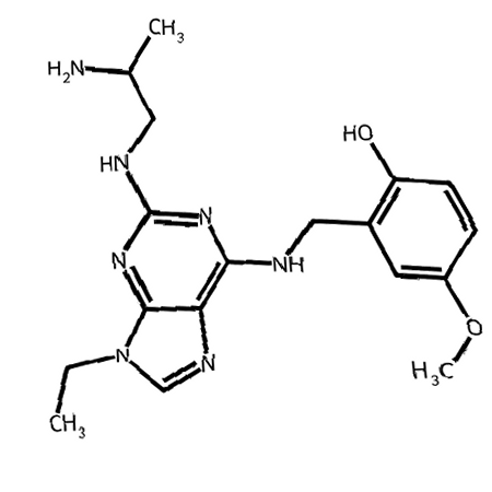 CCn1cnc2c(NCc3cc(OC)ccc3O)nc(NCC(C)N)nc21